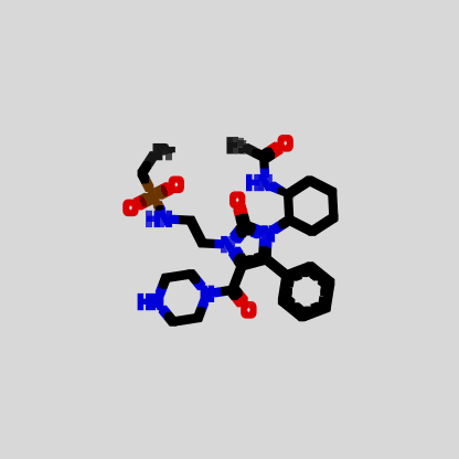 CCC(=O)N[C@H]1CCCCC1n1c(-c2ccccc2)c(C(=O)N2CCNCC2)n(CCNS(=O)(=O)CC(C)C)c1=O